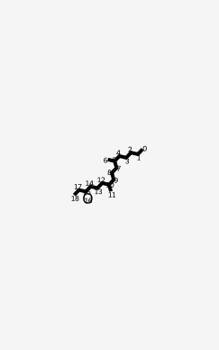 CCCCCC(C)CCCC(C)CCCC(=O)CC